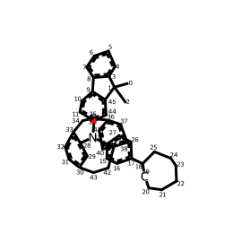 CC1(C)c2ccccc2-c2ccc(N(c3ccc(C4CCCCCCC4)cc3)c3cc4ccc3CCc3ccc(cc3)CC4)cc21